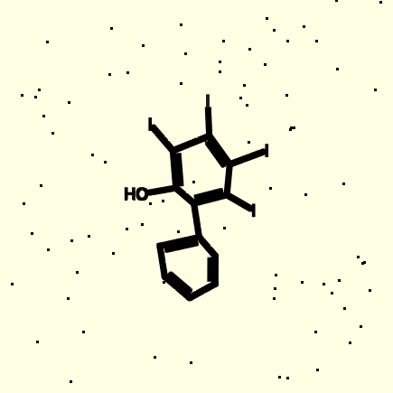 Oc1c(I)c(I)c(I)c(I)c1-c1ccccc1